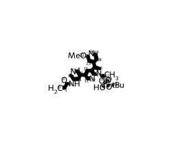 C=CC(=O)Nc1cncc(-c2cnc3c(c2)c(-c2ccnc(OC)c2)cn3C(C)OP(=O)(O)OC(C)(C)C)c1